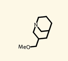 COCC1CC2CCCN(C2)C1